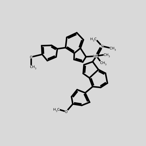 COc1ccc(-c2cccc3c2C=C[CH]3[Hf]([CH3])([CH3])([CH]2C=Cc3c(-c4ccc(OC)cc4)cccc32)=[Si](C)C)cc1